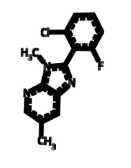 Cc1cnc2c(c1)nc(-c1c(F)cccc1Cl)n2C